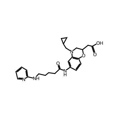 O=C(O)CC1CN(CC2CC2)c2cc(NC(=O)CCCCNc3ccccn3)ccc2O1